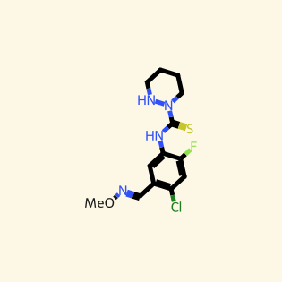 CON=Cc1cc(NC(=S)N2CCCCN2)c(F)cc1Cl